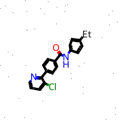 CCc1ccc(NC(=O)c2ccc(-c3ncccc3Cl)cc2)cc1